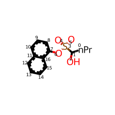 CCCC(O)S(=O)(=O)Oc1cccc2ccccc12